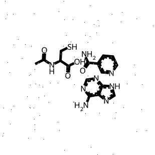 CC(=O)NC(CS)C(=O)O.NC(=O)c1cccnc1.Nc1ncnc2[nH]cnc12